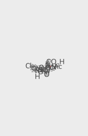 CC(=O)N1CCC2(CC1)CN1C(=O)CN(S(=O)(=O)c3cc4cc(Cl)ccc4[nH]3)CC1(CN(C)CC(=O)O)O2